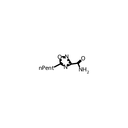 CCCCCc1nc(C(N)=O)no1